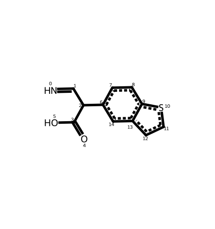 N=CC(C(=O)O)c1ccc2sccc2c1